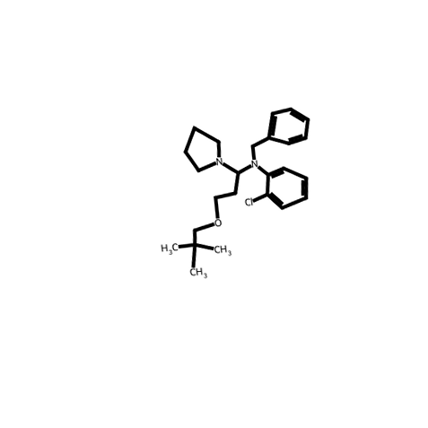 CC(C)(C)COCCC(N1CCCC1)N(Cc1ccccc1)c1ccccc1Cl